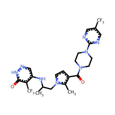 Cc1c(C(=O)N2CCN(c3ncc(C(F)(F)F)cn3)CC2)ccn1CC(C)Nc1cn[nH]c(=O)c1C(F)(F)F